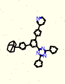 c1ccc(-c2nc(-c3ccccc3)nc(-c3cc(-c4ccc(-c5cccnc5)cc4)cc(-c4ccc(C56CC7CC(CC(C7)C5)C6)cc4)c3)n2)cc1